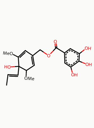 CC=CC1(O)C(OC)=CC(COC(=O)c2cc(O)c(O)c(O)c2)=CC1OC